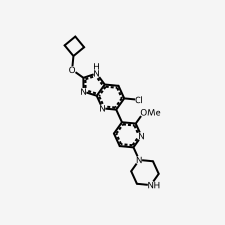 COc1nc(N2CCNCC2)ccc1-c1nc2nc(OC3CCC3)[nH]c2cc1Cl